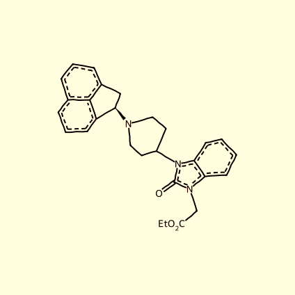 CCOC(=O)Cn1c(=O)n(C2CCN([C@@H]3Cc4cccc5cccc3c45)CC2)c2ccccc21